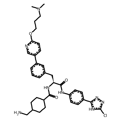 CN(C)CCCOc1ccc(-c2cccc(C[C@H](NC(=O)C3CCC(CN)CC3)C(=O)Nc3ccc(-c4nnc(Cl)[nH]4)cc3)c2)cn1